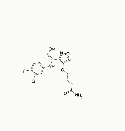 NC(=O)CCCOc1nonc1/C(=N\O)Nc1ccc(F)c(Cl)c1